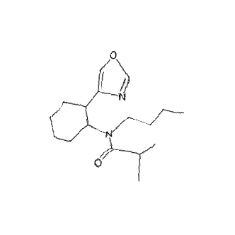 CCCCN(C(=O)C(C)C)C1CCCCC1c1cocn1